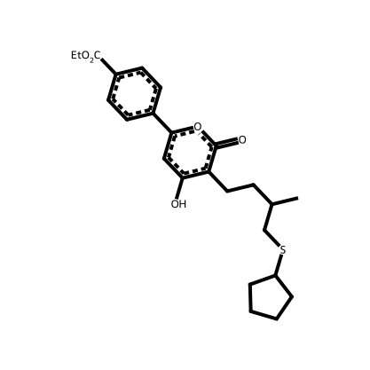 CCOC(=O)c1ccc(-c2cc(O)c(CCC(C)CSC3CCCC3)c(=O)o2)cc1